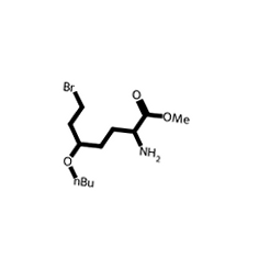 CCCCOC(CCBr)CCC(N)C(=O)OC